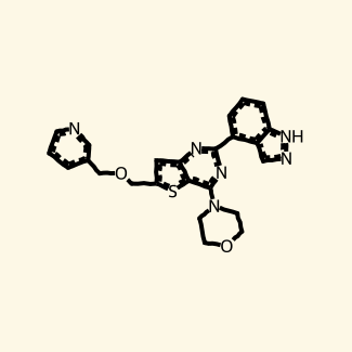 c1cncc(COCc2cc3nc(-c4cccc5[nH]ncc45)nc(N4CCOCC4)c3s2)c1